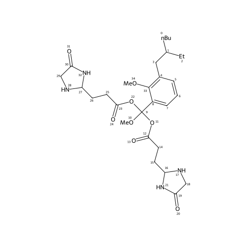 CCCCC(CC)Cc1cccc(C(OC)(OC(=O)CCC2NCC(=O)N2)OC(=O)CCC2NCC(=O)N2)c1OC